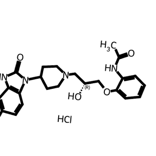 CC(=O)Nc1ccccc1OC[C@H](O)CN1CCC(n2c(=O)[nH]c3cc(F)ccc32)CC1.Cl